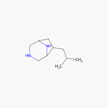 CC(C)CC1CC2CNCC1N2